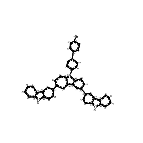 Brc1ccc(-c2ccc(-n3c4ccc(-c5ccc6oc7ccccc7c6c5)cc4c4cc(-c5ccc6oc7ccccc7c6c5)ccc43)cc2)cc1